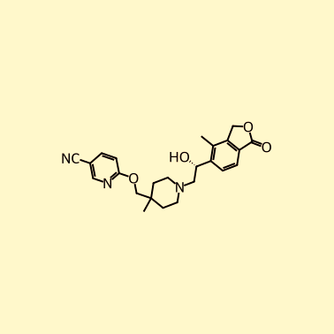 Cc1c([C@@H](O)CN2CCC(C)(COc3ccc(C#N)cn3)CC2)ccc2c1COC2=O